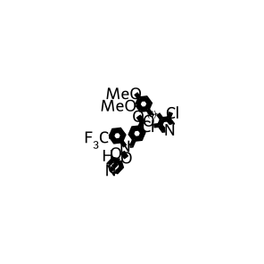 COc1ccc([C@H](Cc2c(Cl)cncc2Cl)OC(=O)c2ccc(CN(C(=O)O[C@H]3CN4CCC3CC4)c3cccc(C(F)(F)F)c3)cc2)cc1OC